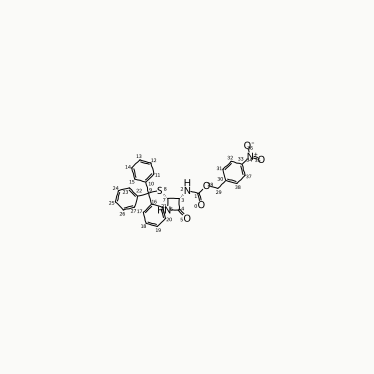 O=C(N[C@@H]1C(=O)N[C@@H]1SC(c1ccccc1)(c1ccccc1)c1ccccc1)OCc1ccc([N+](=O)[O-])cc1